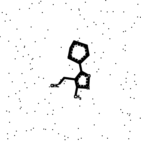 Cc1noc(-c2ccccc2)c1CC=O